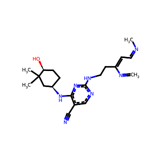 C=N/C(=C\C=N/C)CCNc1ncc(C#N)c(N[C@@H]2CC[C@H](O)C(C)(C)C2)n1